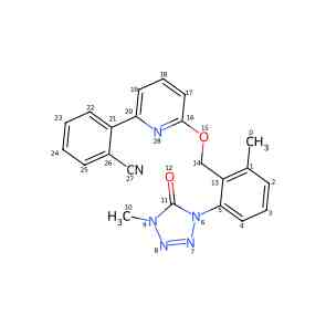 Cc1cccc(-n2nnn(C)c2=O)c1COc1cccc(-c2ccccc2C#N)n1